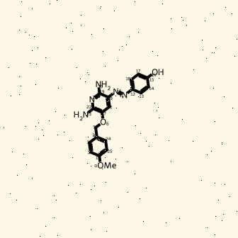 COc1ccc(COc2cc(N=Nc3ccc(O)cc3)c(N)nc2N)cc1